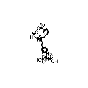 CC(=O)Nc1nc(CCc2ccc(NC(NC(=O)O)NC(=O)O)cc2)c(CN2CCC[C@@H](C(=O)N(C)C)C2)s1